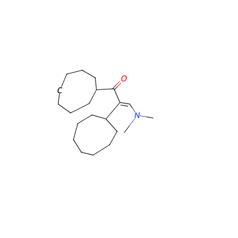 CN(C)/C=C(/C(=O)C1CCCCCCC1)C1CCCCCCC1